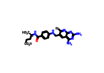 CCc1nc2nc(N)nc(N)c2cc1CNc1ccc(C(=O)N[C@@H](CCC(=O)O)C(=O)O)cc1